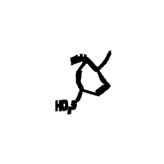 Cc1ccc(S(=O)(=O)O)cc1.[RbH]